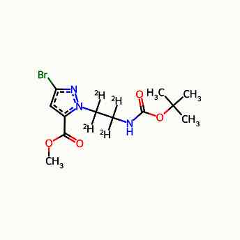 [2H]C([2H])(NC(=O)OC(C)(C)C)C([2H])([2H])n1nc(Br)cc1C(=O)OC